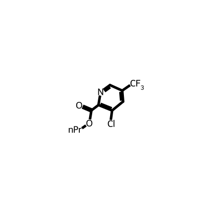 CCCOC(=O)c1ncc(C(F)(F)F)cc1Cl